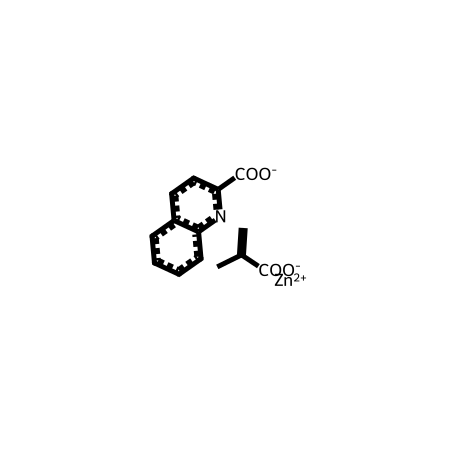 C=C(C)C(=O)[O-].O=C([O-])c1ccc2ccccc2n1.[Zn+2]